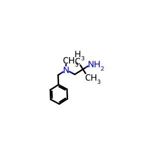 CN(Cc1ccccc1)CC(C)(C)N